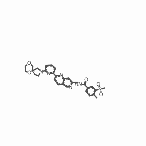 Cc1ccc(C(=O)NCc2cc3nc(-c4cccc(N5CC[C@@]6(COCCO6)C5)n4)ccc3cn2)cc1S(C)(=O)=O